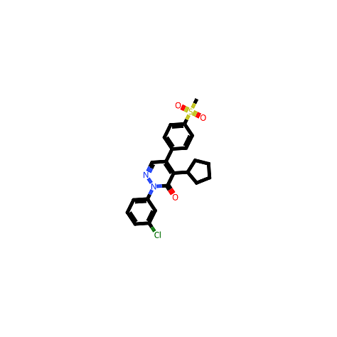 CS(=O)(=O)c1ccc(-c2cnn(-c3cccc(Cl)c3)c(=O)c2C2CCCC2)cc1